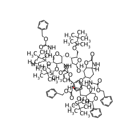 C=CCO[C@H]1[C@H](O[C@@H]2[C@H]3OC(=O)N[C@@H]3C[C@H](NC(=O)OCc3ccccc3)[C@H]2O[C@H]2O[C@@H]3COC(c4ccccc4)O[C@H]3[C@H](O[Si](C)(C)C(C)(C)C)[C@H]2NC(=O)OCc2ccccc2)O[C@H](CO[Si](C)(C)C(C)(C)C)[C@H]1O[C@H]1O[C@@H](CNC(=O)OCc2ccccc2)[C@@H](O[Si](C)(C)C(C)(C)C)[C@H](O[Si](C)(C)C(C)(C)C)[C@H]1NC(=O)OCc1ccccc1